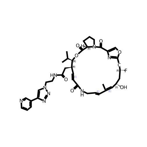 CC1=C\[C@@H](O)C[C@@H](F)Cc2nc(co2)C(=O)N2CCC[C@@H]2C(=O)O[C@H](C(C)C)[C@H](CC(=O)NCCn2cc(-c3cccnc3)nn2)/C=C/C(=O)NC\C=C\1